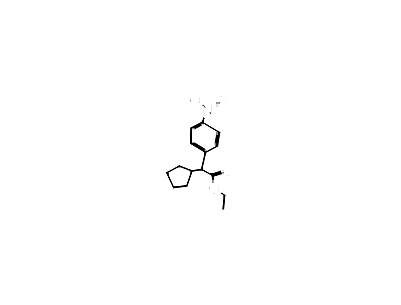 CCOC(=O)C(c1ccc([N+](=O)[O-])cc1)C1CCCC1